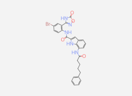 O=C(CCCCc1ccccc1)Nc1cccc2cc(C(=O)Nc3ccc(Br)cc3-c3noc(=O)[nH]3)[nH]c12